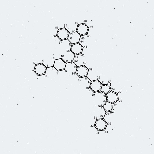 C1=CC(c2ccccc2)CC=C1N(c1ccc(-c2ccc3c(c2)oc2ccc4oc(-c5ccccc5)nc4c23)cc1)c1ccc(-c2ccccc2)c(-c2ccccc2)c1